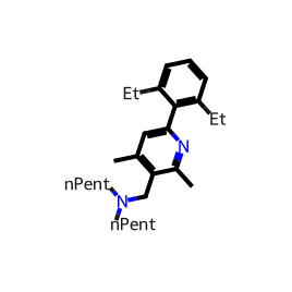 CCCCCN(CCCCC)Cc1c(C)cc(-c2c(CC)cccc2CC)nc1C